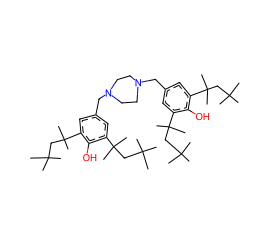 CC(C)(C)CC(C)(C)c1cc(CN2CCN(Cc3cc(C(C)(C)CC(C)(C)C)c(O)c(C(C)(C)CC(C)(C)C)c3)CC2)cc(C(C)(C)CC(C)(C)C)c1O